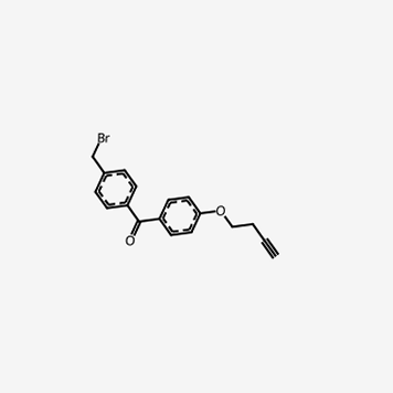 C#CCCOc1ccc(C(=O)c2ccc(CBr)cc2)cc1